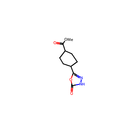 COC(=O)C1CCC(c2n[nH]c(=O)o2)CC1